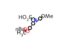 CCCCOC(C)Oc1ccc(-c2ccc3c(c2)C=C(C(=O)O)CCN3Cc2ccc(OC)cc2)cc1